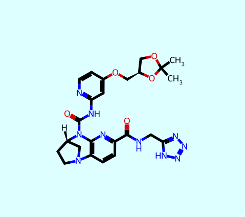 CC1(C)OC[C@H](COc2ccnc(NC(=O)N3c4nc(C(=O)NCc5nnn[nH]5)ccc4N4CC[C@H]3C4)c2)O1